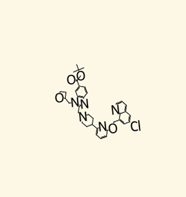 CC(C)(C)OC(=O)c1ccc2nc(CN3CCC(c4cccc(OCc5cc(Cl)cc6cccnc56)n4)CC3)n(CC3CCO3)c2c1